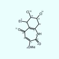 CCC1c2c([nH]c(=O)c(OC)cc2=O)CC(Cl)C1Cl